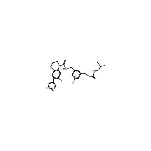 C=C(CCc1cc(F)cc(CNC(=C)N2CCCc3cc(-c4cn[nH]c4)c(F)cc32)c1)NCC(C)C